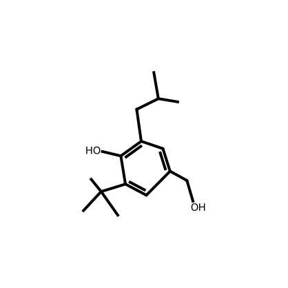 CC(C)Cc1cc(CO)cc(C(C)(C)C)c1O